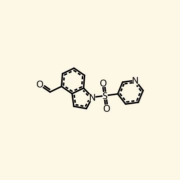 O=Cc1cccc2c1ccn2S(=O)(=O)c1cccnc1